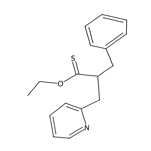 CCOC(=S)C(Cc1ccccc1)Cc1ccccn1